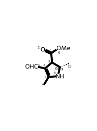 COC(=O)C1C(C=O)=C(C)N[C@H]1C